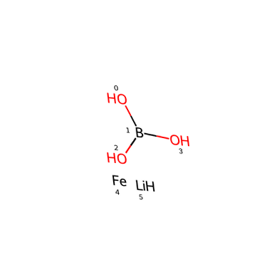 OB(O)O.[Fe].[LiH]